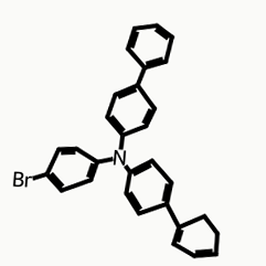 Brc1ccc(N(c2ccc(C3=CC=CCC3)cc2)c2ccc(-c3ccccc3)cc2)cc1